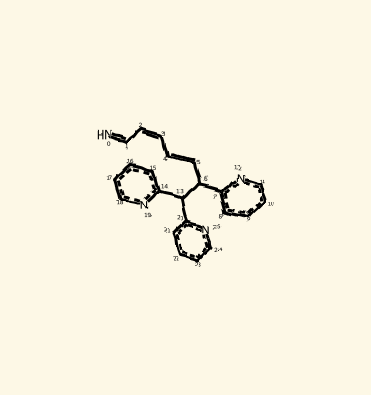 N=C/C=C\C=C\C(c1ccccn1)C(c1ccccn1)c1ccccn1